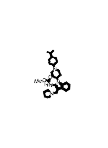 COC(=O)Nc1c(CN2CCCC2)c2ccccc2n1C1CCN(C2CCC(=C(C)C)CC2)CC1